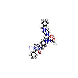 CCC(=O)NC(Cc1ccc(CNC(=O)C(NC(=O)O)C2CCCCC2)cc1)C(=O)N1CCN(Cc2ccccc2)CC1